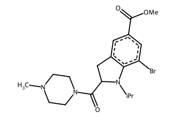 COC(=O)c1cc(Br)c2c(c1)CC(C(=O)N1CCN(C)CC1)N2C(C)C